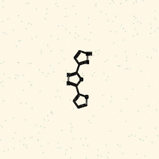 c1coc(-c2nnc(-c3cc[nH]n3)o2)c1